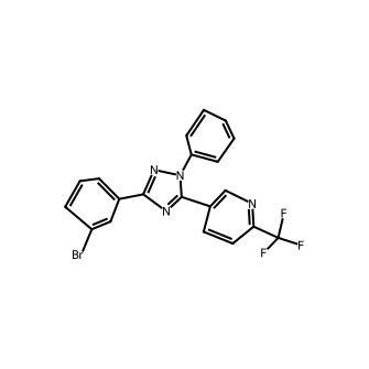 FC(F)(F)c1ccc(-c2nc(-c3cccc(Br)c3)nn2-c2ccccc2)cn1